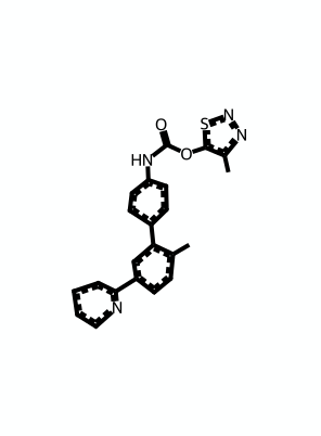 Cc1ccc(-c2ccccn2)cc1-c1ccc(NC(=O)Oc2snnc2C)cc1